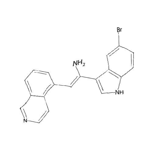 N/C(=C\c1cccc2cnccc12)c1c[nH]c2ccc(Br)cc12